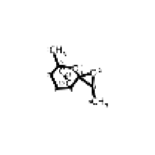 CC1OC12OC1(C)CCC2CC1